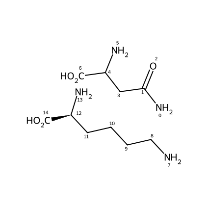 NC(=O)CC(N)C(=O)O.NCCCC[C@H](N)C(=O)O